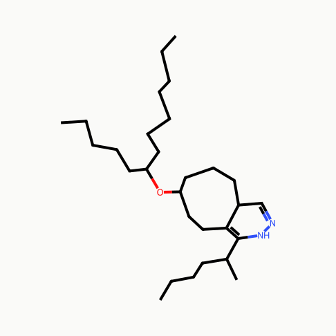 CCCCCCCC(CCCCC)OC1CCCC2C=NNC(C(C)CCCC)=C2CC1